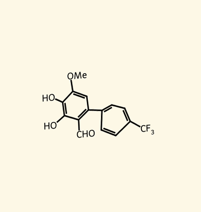 COc1cc(-c2ccc(C(F)(F)F)cc2)c(C=O)c(O)c1O